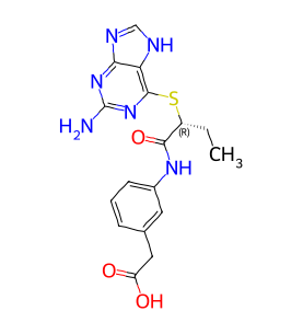 CC[C@@H](Sc1nc(N)nc2nc[nH]c12)C(=O)Nc1cccc(CC(=O)O)c1